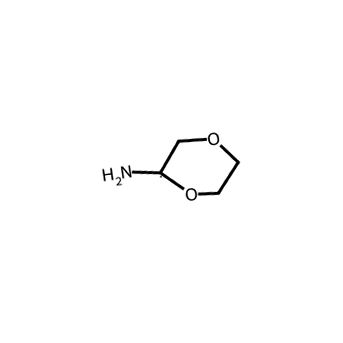 N[C]1COCCO1